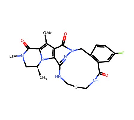 CCN1C[C@H](C)n2c(c(OC)c3c(=O)n4nc(c32)NCCCNC(=O)c2cc(F)ccc2C4)C1=O